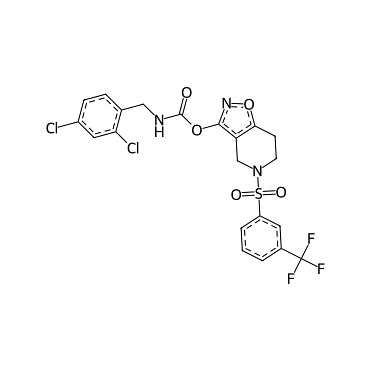 O=C(NCc1ccc(Cl)cc1Cl)Oc1noc2c1CN(S(=O)(=O)c1cccc(C(F)(F)F)c1)CC2